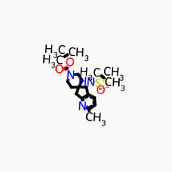 Cc1ccc2c(n1)CC1(CCN(C(=O)OC(C)(C)C)CC1)C2N[S+]([O-])C(C)(C)C